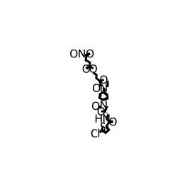 O=NC(=O)CCC(=O)OCCCC1OCCN(c2ccc(N3C[C@H](CNC(=O)c4ccc(Cl)s4)OC3=O)cc2)C1=O